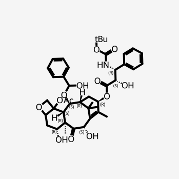 CC(=O)OC12COC1C[C@@H](O)[C@]1(C)C(=O)[C@@H](O)C3=C(C)[C@H](OC(=O)[C@@H](O)[C@H](NC(=O)OC(C)(C)C)c4ccccc4)C[C@@H]([C@H](OC(O)c4ccccc4)[C@@H]21)C3(C)C